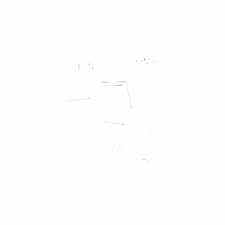 CCS(=O)(=O)c1cc(C)c(N)c(OC)c1